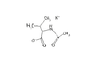 CC(=O)NC(C(=O)[O-])C(C)C.[K+]